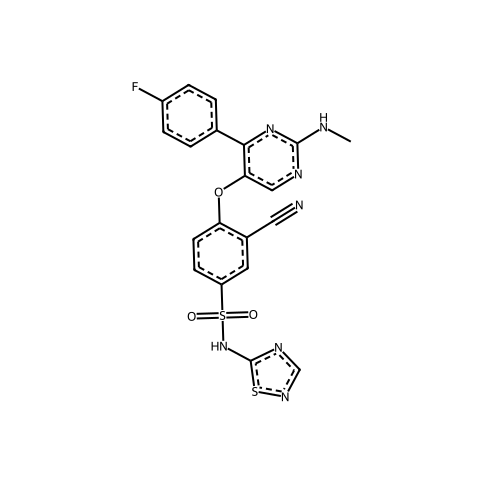 CNc1ncc(Oc2ccc(S(=O)(=O)Nc3ncns3)cc2C#N)c(-c2ccc(F)cc2)n1